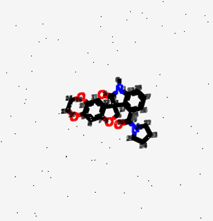 CN1C(=O)C2(COc3cc4c(cc32)OCCO4)c2c(C(=O)N3CCCC3)cccc21